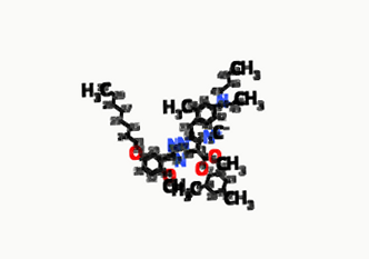 [C-]#[N+]c1c(C(=O)OC2C(C)CC(C)CC2C)c2nc(-c3cc(OCCCCCCCC)ccc3OC)nn2/c1=C/c1ccc(N(CC)CCCC)cc1C